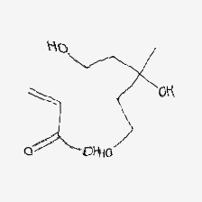 C=CC(=O)O.CC(O)(CCO)CCO